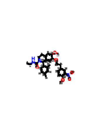 CCNC(=O)N1CCc2cc(OC)c(OCCc3ccc(OC)c([N+](=O)[O-])c3)cc2C1c1ccc(C)cc1C